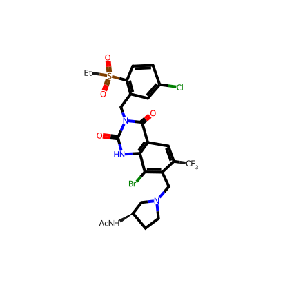 CCS(=O)(=O)c1ccc(Cl)cc1Cn1c(=O)[nH]c2c(Br)c(CN3CC[C@@H](NC(C)=O)C3)c(C(F)(F)F)cc2c1=O